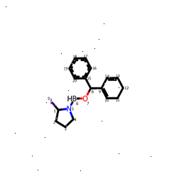 IC1CCCN1BOC(C1=CCCC=C1)c1ccccc1